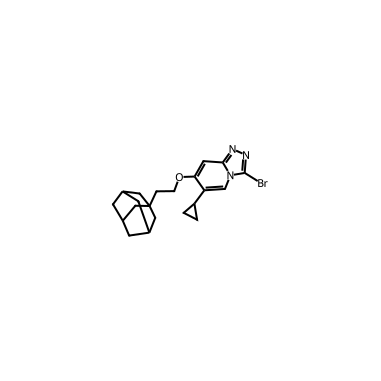 Brc1nnc2cc(OCCC34CC5CC(CC(C5)C3)C4)c(C3CC3)cn12